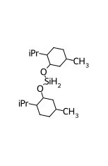 CC1CCC(C(C)C)C(O[SiH2]OC2CC(C)CCC2C(C)C)C1